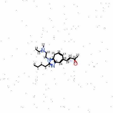 CCCCc1nc2c(n1CCN(C)CC)CC=CC(/C=C/C(C)=O)=C2